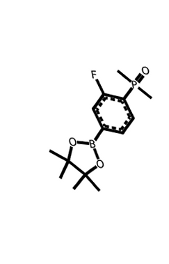 CC1(C)OB(c2ccc(P(C)(C)=O)c(F)c2)OC1(C)C